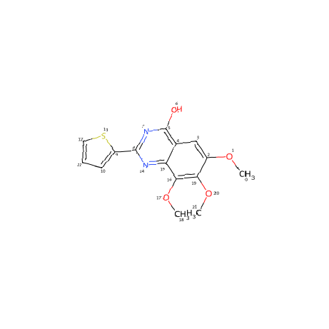 COc1cc2c(O)nc(-c3cccs3)nc2c(OC)c1OC